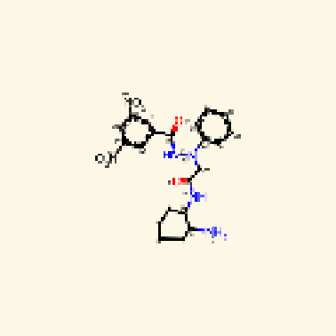 NC1CCCCC1NC(=O)CN(NC(=O)c1cc([N+](=O)[O-])cc([N+](=O)[O-])c1)c1ccccc1